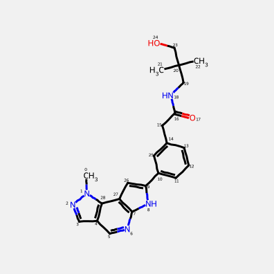 Cn1ncc2cnc3[nH]c(-c4cccc(CC(=O)NCC(C)(C)CO)c4)cc3c21